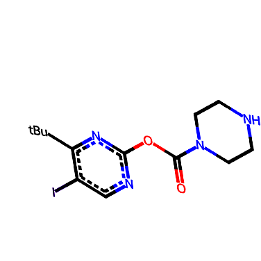 CC(C)(C)c1nc(OC(=O)N2CCNCC2)ncc1I